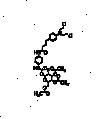 CC(=O)OC[C@H]1O[C@@H](OC(=O)Nc2ccc(NC(=O)CCCc3ccc(N(CCCl)CCCl)cc3)cc2)[C@@H](F)[C@@H](OC(C)=O)[C@@H]1OC(C)=O